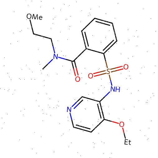 CCOc1ccncc1NS(=O)(=O)c1ccccc1C(=O)N(C)CCOC